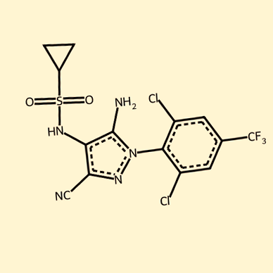 N#Cc1nn(-c2c(Cl)cc(C(F)(F)F)cc2Cl)c(N)c1NS(=O)(=O)C1CC1